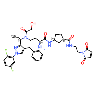 CC(C)(C)[C@H](c1nn(-c2cc(F)ccc2F)cc1Cc1ccccc1)N(CC[C@H](N)C(=O)N[C@H]1CC[C@@H](C(=O)NCCN2C(=O)C=CC2=O)C1)C(=O)CO